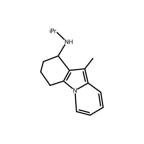 Cc1c2c(n3ccccc13)CCCC2NC(C)C